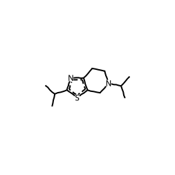 CC(C)c1nc2c(s1)CN(C(C)C)CC2